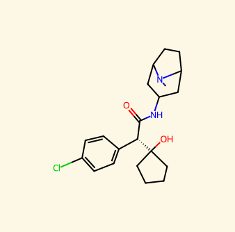 CN1C2CCC1CC(NC(=O)[C@@H](c1ccc(Cl)cc1)C1(O)CCCC1)C2